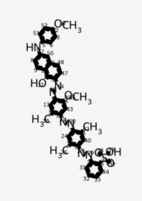 COc1ccc(Nc2ccc3c(O)c(N=Nc4cc(C)c(N=Nc5cc(C)c(N=Nc6ccccc6S(=O)(=O)O)cc5C)cc4OC)ccc3c2)cc1